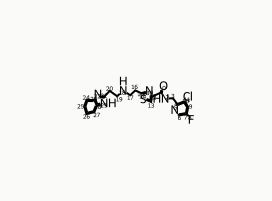 O=C(NCc1ncc(F)cc1Cl)c1csc(CCNCCc2nc3ccccc3[nH]2)n1